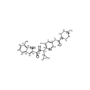 Cc1cc(CC(=O)N2CCN(C)CC2)cnc1C(NC(=O)c1cc2cccc(C)c2[nH]1)C1CC1